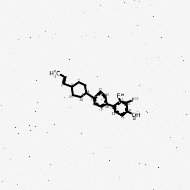 CC=CC1CCC(c2ccc(-c3ccc(O)c(F)c3F)cc2)CC1